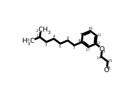 CC(C)CCCCCc1cccc(OCC[O])c1